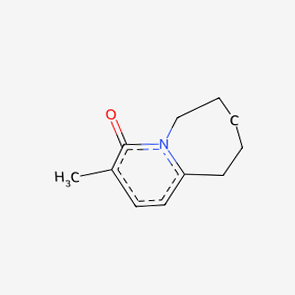 Cc1ccc2n(c1=O)CCCCC2